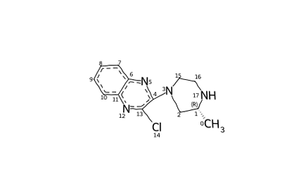 C[C@@H]1CN(c2nc3ccccc3nc2Cl)CCN1